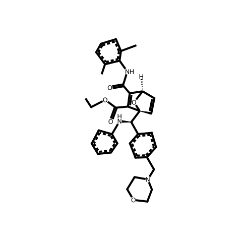 CCOC(=O)C1=C(C(=O)Nc2c(C)cccc2C)[C@H]2C=C[C@]1([C@H](Nc1ccccc1)c1ccc(CN3CCOCC3)cc1)O2